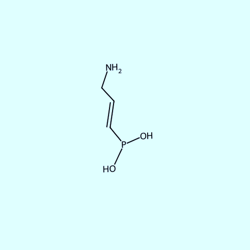 NCC=CP(O)O